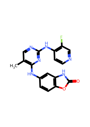 Cc1cnc(Nc2ccncc2F)nc1Nc1ccc2oc(=O)[nH]c2c1